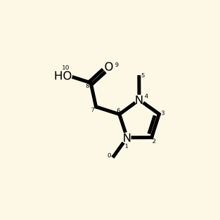 CN1C=CN(C)C1CC(=O)O